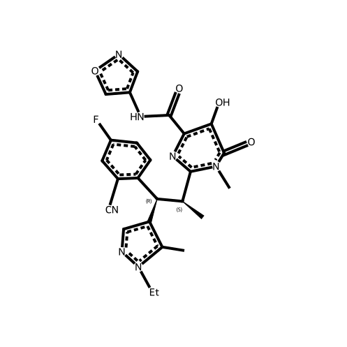 CCn1ncc([C@@H](c2ccc(F)cc2C#N)[C@H](C)c2nc(C(=O)Nc3cnoc3)c(O)c(=O)n2C)c1C